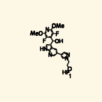 COc1nc(OC)c(F)c(C(O)c2c[nH]c3ncc(-c4cnn(CCOPI)c4)cc23)c1F